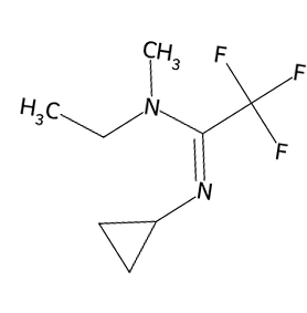 CCN(C)/C(=N\C1CC1)C(F)(F)F